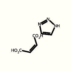 O=C(O)/C=C\C(=O)O.c1c[nH]nn1